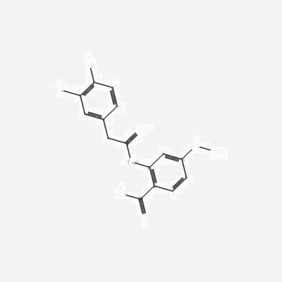 COc1ccc(C(=O)O)c(NC(=O)Cc2ccc(Cl)c(Cl)c2)c1